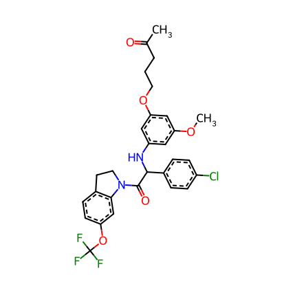 COc1cc(NC(C(=O)N2CCc3ccc(OC(F)(F)F)cc32)c2ccc(Cl)cc2)cc(OCCCC(C)=O)c1